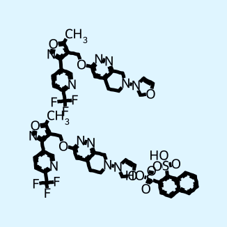 Cc1onc(-c2ccc(C(F)(F)F)nc2)c1COc1cc2c(nn1)CN(N1C=COC1)CC2.Cc1onc(-c2ccc(C(F)(F)F)nc2)c1COc1cc2c(nn1)CN(N1C=COC1)CC2.O=S(=O)(O)c1ccc2ccccc2c1S(=O)(=O)O